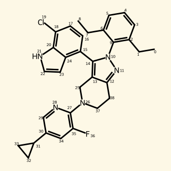 CCc1cccc(CC)c1-n1nc2c(c1-c1ccc(Cl)c3[nH]ccc13)CN(c1ncc(C3CC3)cc1F)CC2